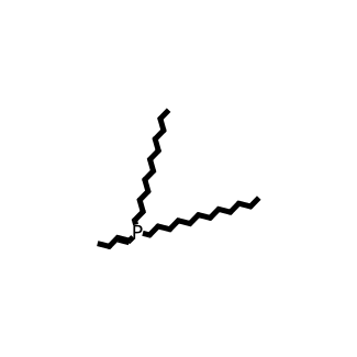 CC/C=C/P(CCCCCCCCCCCC)CCCCCCCCCCCC